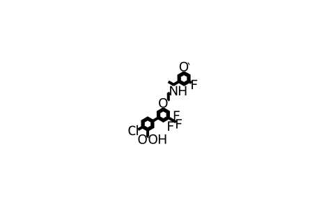 COc1cc(F)cc(C(C)NCCOc2cc(-c3ccc(Cl)c(C(=O)O)c3)cc(C(F)(F)F)c2)c1